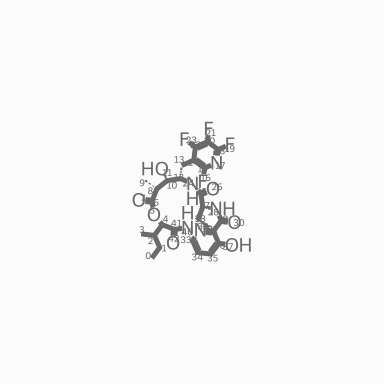 CCC(C)C1OC(=O)[C@H](C)[C@H](O)[C@H](Cc2c(F)nc(F)c(F)c2F)NC(=O)[C@@H](NC(=O)c2ncccc2O)[C@@H](C)NC1=O